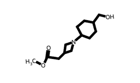 COC(=O)CC1CN(C2CCC(CO)CC2)C1